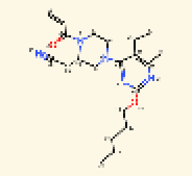 C=CC(=O)N1CCN(c2nc(OCCCCC)nc(C)c2CC)C[C@@H]1CC#N